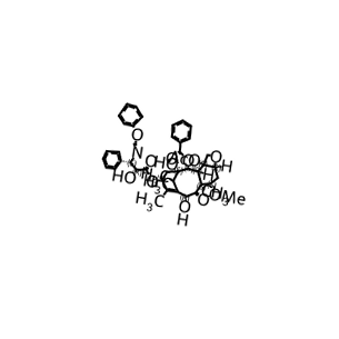 CO[C@H]1C[C@H]2OC[C@@]2(OC(C)=O)[C@H]2[C@H](OC(=O)c3ccccc3)[C@]3(O)C[C@H](OC(=O)[C@H](O)[C@@H](N=COc4ccccc4)c4ccccc4)C(C)=C([C@@H](O)C(=O)[C@]12C)C3(C)C